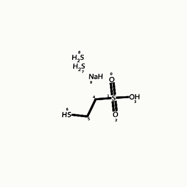 O=S(=O)(O)CCS.S.S.[NaH]